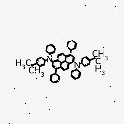 CC(C)C1=CCC(N(C2=CC=CCC2)c2cc(C3C=CC=CC3)c3ccc4c(N(c5ccccc5)C5C=CC(C(C)C)=CC5)cc(C5C=CCCC5)c5ccc2c3c54)C=C1